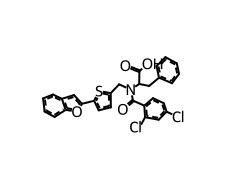 O=C(O)C(Cc1ccccc1)N(Cc1ccc(-c2cc3ccccc3o2)s1)C(=O)c1ccc(Cl)cc1Cl